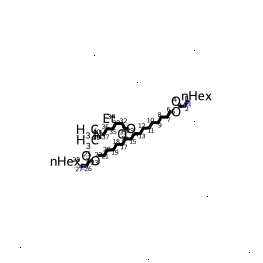 CCCCCC/C=C\C(=O)OCCCCCCCCC(CCCCCCCCOC(=O)/C=C\CCCCCC)OC(=O)CC(CC)CCCN(C)C